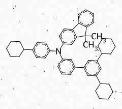 CC1(C)c2ccccc2-c2ccc(N(c3ccc(C4CCCCC4)cc3)c3cccc(-c4cc(C5CCCCC5)cc(C5CCCCC5)c4)c3)cc21